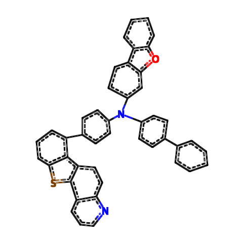 c1ccc(-c2ccc(N(c3ccc(-c4cccc5sc6c7cccnc7ccc6c45)cc3)c3ccc4c(c3)oc3ccccc34)cc2)cc1